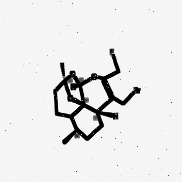 C[C@@H]1CC[C@H]2C(CBr)=C(CF)O[C@@H]3O[C@]4(C)CCC1[C@]32O4